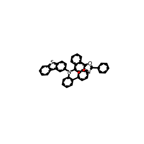 c1ccc(-c2nc3cc(N(c4ccc5sc6ccccc6c5c4)c4ccccc4-c4ccccc4)c4ccccc4c3o2)cc1